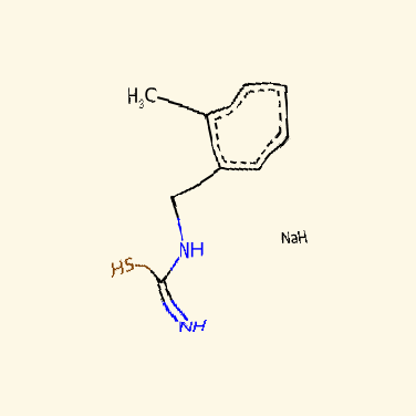 Cc1ccccc1CNC(=N)S.[NaH]